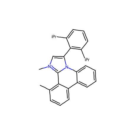 Cc1cccc2c3ccccc3n3c(-c4c(C(C)C)cccc4C(C)C)c[n+](C)c3c12